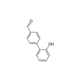 O=Cc1ccc(-c2ccccc2O)cc1